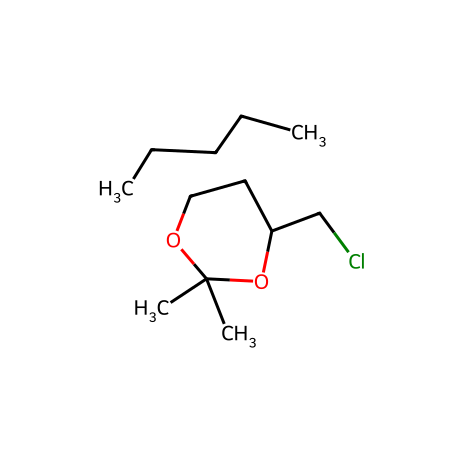 CC1(C)OCCC(CCl)O1.CCCCC